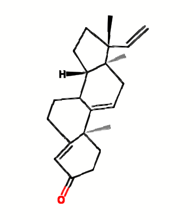 C=C[C@@]1(C)CC[C@H]2C3CCC4=CC(=O)CC[C@]4(C)C3=CC[C@@]21C